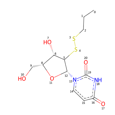 CCCSSC1[C@@H](O)[C@@H](CO)O[C@H]1n1ccc(=O)[nH]c1=O